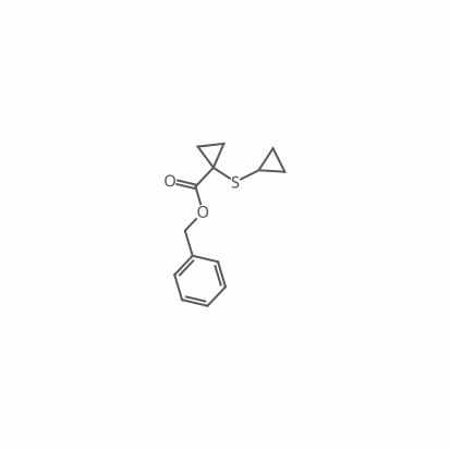 O=C(OCc1ccccc1)C1(SC2CC2)CC1